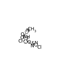 CN1CCC(C(=O)NC(=O)c2c(Cl)ccc(OCc3nc4cc(Cl)cnc4s3)c2F)CC1